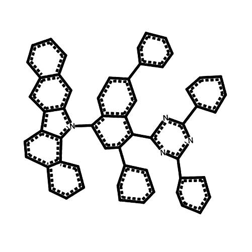 c1ccc(-c2ccc3c(-n4c5cc6ccccc6cc5c5ccc6ccccc6c54)cc(-c4ccccc4)c(-c4nc(-c5ccccc5)nc(-c5ccccc5)n4)c3c2)cc1